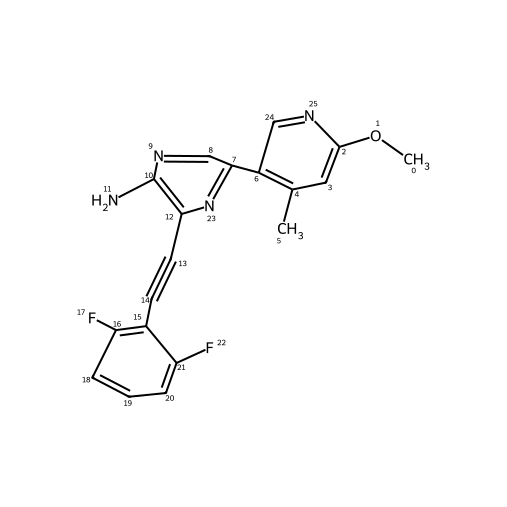 COc1cc(C)c(-c2cnc(N)c(C#Cc3c(F)cccc3F)n2)cn1